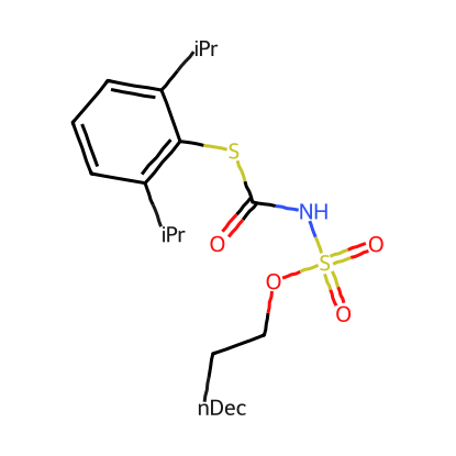 CCCCCCCCCCCCOS(=O)(=O)NC(=O)Sc1c(C(C)C)cccc1C(C)C